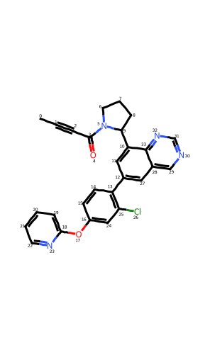 CC#CC(=O)N1CCCC1c1cc(-c2ccc(Oc3ccccn3)cc2Cl)cc2cncnc12